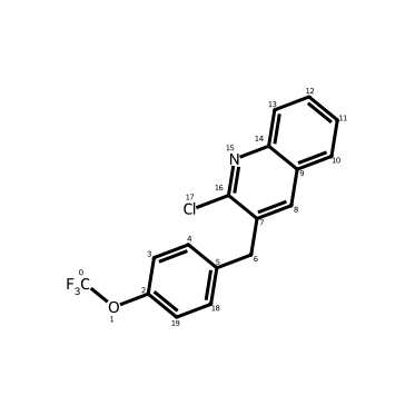 FC(F)(F)Oc1ccc(Cc2cc3ccccc3nc2Cl)cc1